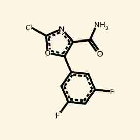 NC(=O)c1nc(Cl)oc1-c1cc(F)cc(F)c1